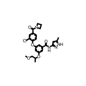 COCC(C)Oc1cc(Oc2ccc(C(=O)N3CCC3)cc2Cl)cc(C(=O)Nc2cc(C)[nH]n2)c1